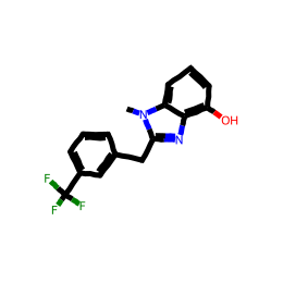 Cn1c(Cc2cccc(C(F)(F)F)c2)nc2c(O)cccc21